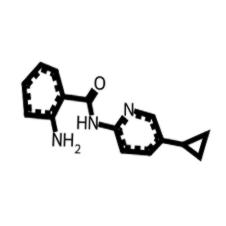 Nc1ccccc1C(=O)Nc1ccc(C2CC2)cn1